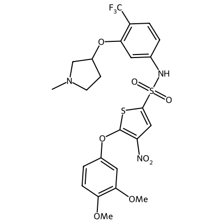 COc1ccc(Oc2sc(S(=O)(=O)Nc3ccc(C(F)(F)F)c(OC4CCN(C)C4)c3)cc2[N+](=O)[O-])cc1OC